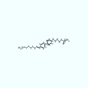 CCCCCCCC=Cc1ccc(-c2ncc(CCCCCC(C)F)cn2)cc1